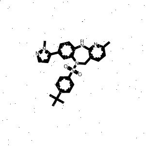 Cc1ccc2c(n1)Nc1ccc(-c3ccnn3C)cc1N(S(=O)(=O)c1ccc(C(C)(C)C)cc1)C2